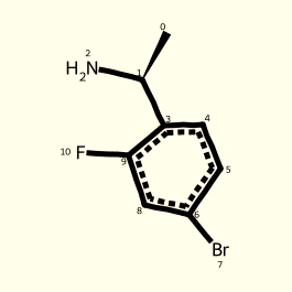 C[C@H](N)c1ccc(Br)cc1F